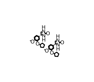 COc1ccc([C@@H]2CNC(=O)N2)cc1OC1CCCC1.COc1ccc([C@H]2CNC(=O)N2)cc1OC1CCCC1